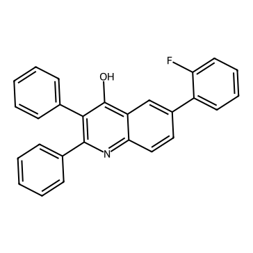 Oc1c(-c2ccccc2)c(-c2ccccc2)nc2ccc(-c3ccccc3F)cc12